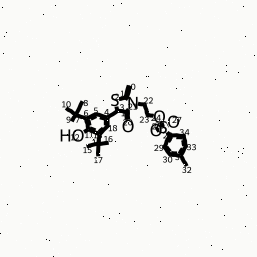 C=C1SC(c2cc(C(C)(C)C)c(O)c(C(C)(C)C)c2)C(=O)N1CCOS(=O)(=O)c1ccc(C)cc1